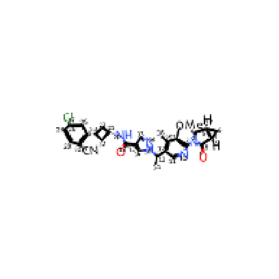 COc1c(N2C[C@H]3C[C@H]3C2=O)ncc([C@@H](C)n2cc(C(=O)N[C@H]3C[C@@H](c4cc(Cl)ccc4C#N)C3)cn2)c1C